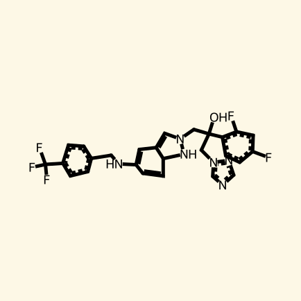 OC(CN1C=C2C=C(NCc3ccc(C(F)(F)F)cc3)C=CC2N1)(Cn1cncn1)c1ccc(F)cc1F